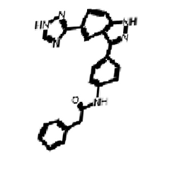 O=C(Cc1ccccc1)Nc1ccc(-c2n[nH]c3ccc(-c4nc[nH]n4)cc23)cc1